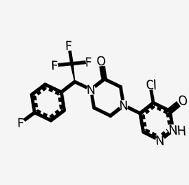 O=C1CN(c2cn[nH]c(=O)c2Cl)CCN1[C@@H](c1ccc(F)cc1)C(F)(F)F